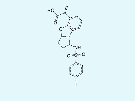 C=C(C(=O)O)c1cccc2c1OC1CCC(NS(=O)(=O)c3ccc(I)cc3)C21